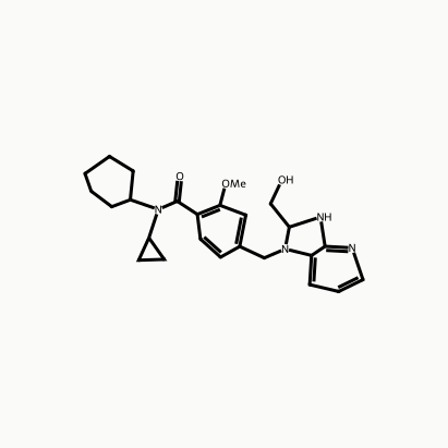 COc1cc(CN2c3cccnc3NC2CO)ccc1C(=O)N(C1CCCCC1)C1CC1